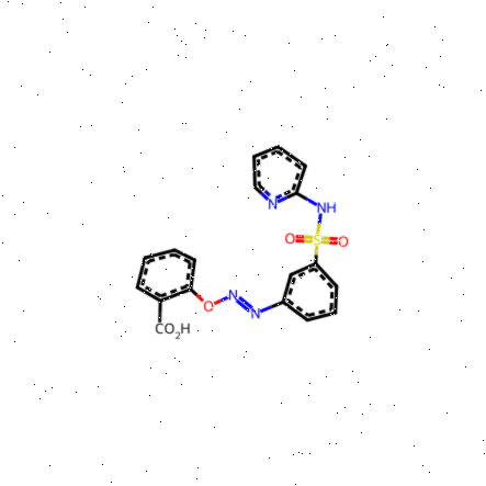 O=C(O)c1ccccc1ON=Nc1cccc(S(=O)(=O)Nc2ccccn2)c1